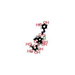 O=C(/C=C/c1ccc(O)c(O)c1)O[C@H]1[C@@H]2C=CO[C@@H](O[C@H]3O[C@@H](CO)[C@H](O)[C@@H](O)[C@@H]3O)[C@@H]2[C@](O)(CO)[C@@H]1Cl